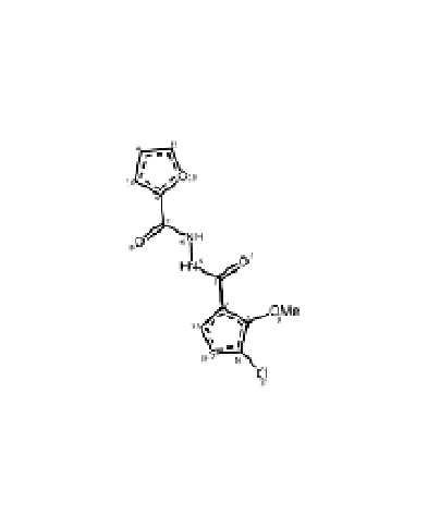 COc1c(C(=O)NNC(=O)c2ccco2)csc1Cl